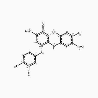 COc1cc(Nc2nc(=O)c(OC)cn2Cc2ccc(F)c(F)c2)c(C)cc1Cl